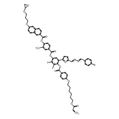 C=CC(=O)OCCCCCCOc1ccc(C(=O)Oc2c(-c3ccc(/C=N/N=C/c4ccc(F)cc4)o3)cc(OC(=O)c3ccc(OC(=O)c4ccc5cc(OCCCOC6CO6)ccc5c4)c(C)c3)c(F)c2F)cc1